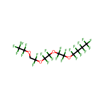 FC(F)(COC(F)(F)C(F)(F)Br)OC(F)(F)C(F)(F)OC(F)(F)C(F)(F)OC(F)(F)C(F)(F)C(F)(F)C(F)(F)F